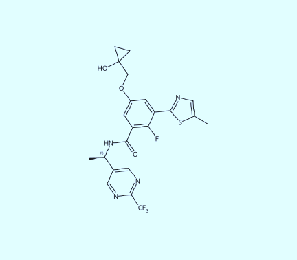 Cc1cnc(-c2cc(OCC3(O)CC3)cc(C(=O)N[C@H](C)c3cnc(C(F)(F)F)nc3)c2F)s1